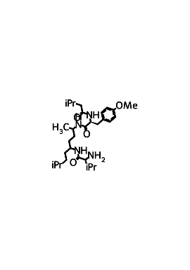 COc1ccc(C[C@H](NC(=O)CC(C)C)C(=O)NC(C)CCC(CCC(C)C)NC(=O)[C@@H](N)C(C)C)cc1